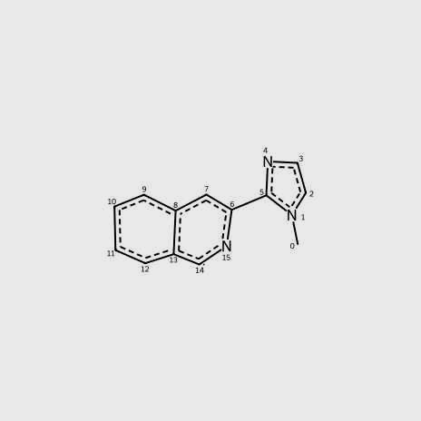 Cn1ccnc1-c1cc2ccccc2[c]n1